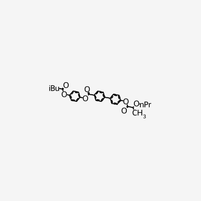 CCCOC(C)C(=O)Oc1ccc(-c2ccc(C(=O)Oc3ccc(OC(=O)C(C)CC)cc3)cc2)cc1